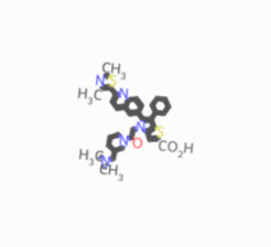 Cc1nc(C)c(-c2ccc3cc(-c4c(C5CCCCC5)c5sc(C(=O)O)cc5n4CC(=O)N4CCCC(CN(C)C)C4)ccc3n2)s1